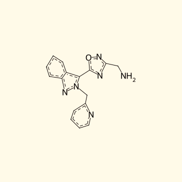 NCc1noc(-c2c3ccccc3nn2Cc2ccccn2)n1